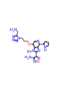 CCn1c(-c2nonc2N)nc2c(-c3ccc[nH]3)ncc(OCCCn3nnnc3CN)c21